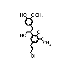 COc1cc(CC(CO)c2cc(/C=C/CO)cc(OC)c2O)ccc1O